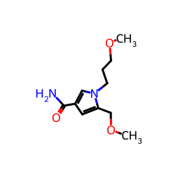 COCCCn1cc(C(N)=O)cc1COC